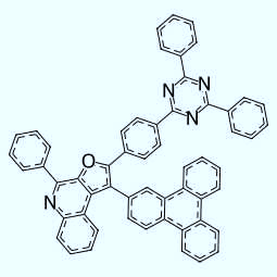 c1ccc(-c2nc(-c3ccccc3)nc(-c3ccc(-c4oc5c(-c6ccccc6)nc6ccccc6c5c4-c4ccc5c6ccccc6c6ccccc6c5c4)cc3)n2)cc1